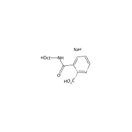 CCCCCCCCNC(=O)c1ccccc1C(=O)O.[NaH]